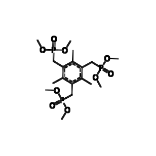 COP(=O)(Cc1c(C)c(CP(=O)(OC)OC)c(C)c(CP(=O)(OC)OC)c1C)OC